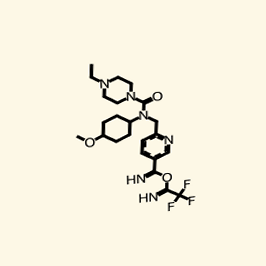 CCN1CCN(C(=O)N(Cc2ccc(C(=N)OC(=N)C(F)(F)F)cn2)C2CCC(OC)CC2)CC1